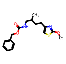 CCOc1nc(CCC(C)CNC(=O)OCc2ccccc2)cs1